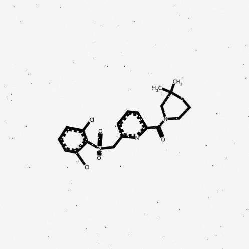 CC1(C)CCCN(C(=O)c2cccc(CS(=O)(=O)c3c(Cl)cccc3Cl)n2)C1